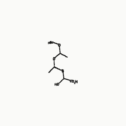 CCCCOC(C)OC(C)SC(O)C(=O)O